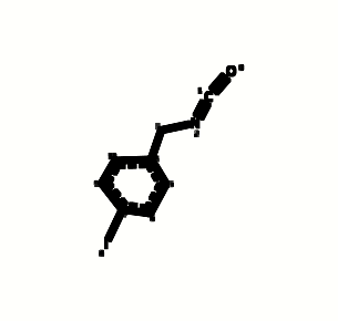 O=C=NCc1ccc(I)cc1